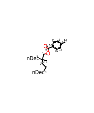 CCCCCCCCCCCCC(C)(CCCCCCCCCC)COC(=O)c1ccc(C)cc1